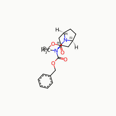 CN(C(=O)OCc1ccccc1)[C@H]1C[C@H]2CC[C@@H](C1)N2C(=O)OC(C)(C)C